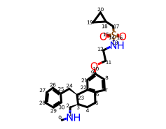 CNC[C@@H]1CCc2ccc(OCCNS(=O)(=O)CC3CC3)cc2[C@@H]1Cc1ccccc1